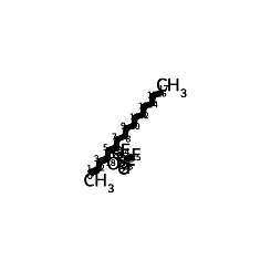 CC=CC=C(C=CCCCCCCCCCCC)OS(=O)(=O)C(F)(F)F